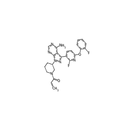 C=CC(=O)N1CCCC(n2nc(-c3ccc(Oc4ccccc4F)nc3F)c3c(N)ncnc32)C1